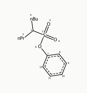 CCCCC(CCC)S(=O)(=O)Oc1ccccc1